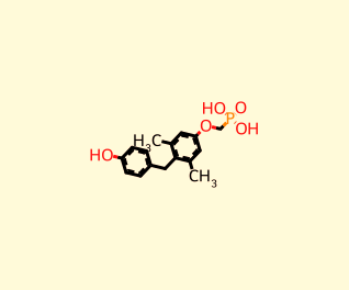 Cc1cc(OCP(=O)(O)O)cc(C)c1Cc1ccc(O)cc1